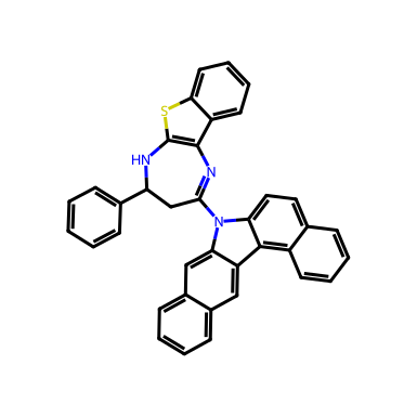 c1ccc(C2CC(n3c4cc5ccccc5cc4c4c5ccccc5ccc43)=Nc3c(sc4ccccc34)N2)cc1